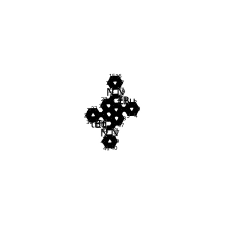 CCc1ccccc1-c1cc2c(-c3nc4ccccc4nc3C(C)(C)C)ccc3c(-c4ccccc4CC)cc4c(-c5nc6ccccc6nc5C(C)(C)C)ccc1c4c32